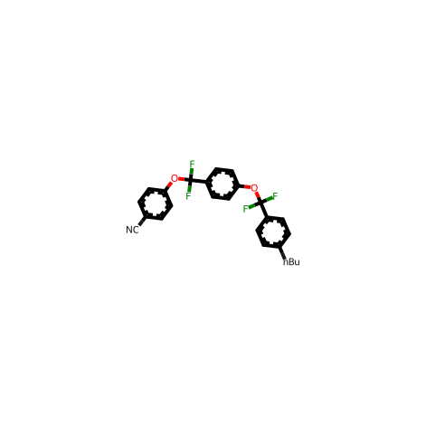 CCCCc1ccc(C(F)(F)Oc2ccc(C(F)(F)Oc3ccc(C#N)cc3)cc2)cc1